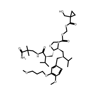 COCCCOc1cc(C[C@@H](C[C@H]2[C@H](C[C@H](C(=O)NCC(C)(C)C(N)=O)C(C)C)OCN2C(=O)OCOC(=O)C2(CO)CC2)C(C)C)ccc1OC